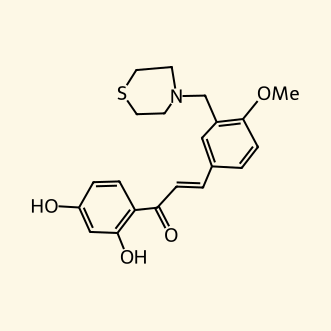 COc1ccc(/C=C/C(=O)c2ccc(O)cc2O)cc1CN1CCSCC1